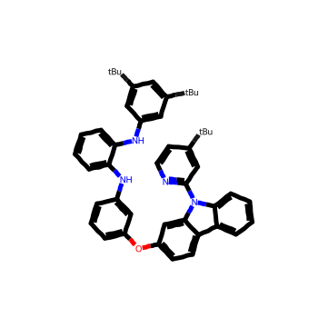 CC(C)(C)c1cc(Nc2ccccc2Nc2cccc(Oc3ccc4c5ccccc5n(-c5cc(C(C)(C)C)ccn5)c4c3)c2)cc(C(C)(C)C)c1